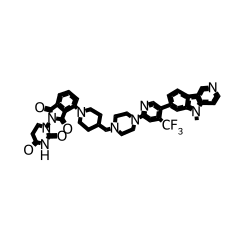 Cn1c2ccncc2c2ccc(-c3cnc(N4CCN(CC5CCN(c6cccc7c6C(=O)N(N6CCC(=O)NC6=O)C7=O)CC5)CC4)cc3C(F)(F)F)cc21